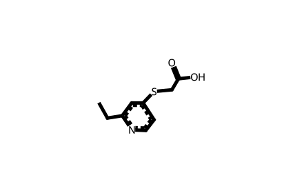 CCc1cc(SCC(=O)O)ccn1